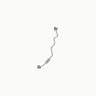 BrC#CCCCCCBr